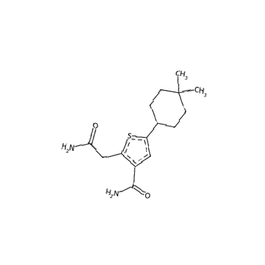 CC1(C)CCC(c2cc(C(N)=O)c(CC(N)=O)s2)CC1